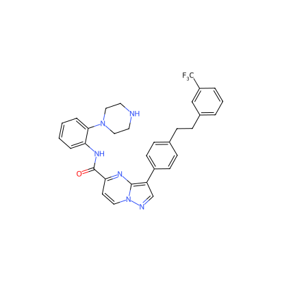 O=C(Nc1ccccc1N1CCNCC1)c1ccn2ncc(-c3ccc(CCc4cccc(C(F)(F)F)c4)cc3)c2n1